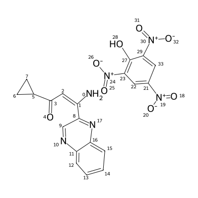 N/C(=C/C(=O)C1CC1)c1cnc2ccccc2n1.O=[N+]([O-])c1cc([N+](=O)[O-])c(O)c([N+](=O)[O-])c1